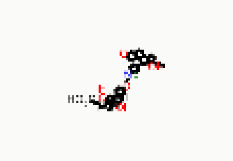 CC#C[C@@]1(O)CCC2C3CCC4=CC(=O)CCC4=C3[C@H](c3ccc(N(C)CCO[C@H]4CC[C@@]5(C)[C@@H](C4)C[C@@H](O)[C@@H]4[C@@H]5C[C@H](O)[C@]5(C)[C@@H]([C@H](C)CCC(=O)O)CC[C@@H]45)c(F)c3)C[C@@]21C